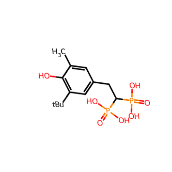 Cc1cc(CC(P(=O)(O)O)P(=O)(O)O)cc(C(C)(C)C)c1O